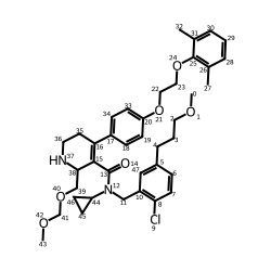 COCCCc1ccc(Cl)c(CN(C(=O)C2=C(c3ccc(OCCOc4c(C)cccc4C)cc3)CCNC2COCOC)C2CC2)c1